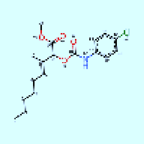 CCCCCC=C(C)C(OC(=O)Nc1ccc(Cl)cc1)C(=O)OC